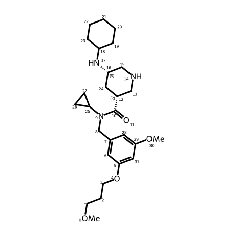 COCCCOc1cc(CN(C(=O)[C@H]2CNC[C@@H](NC3CCCCC3)C2)C2CC2)cc(OC)c1